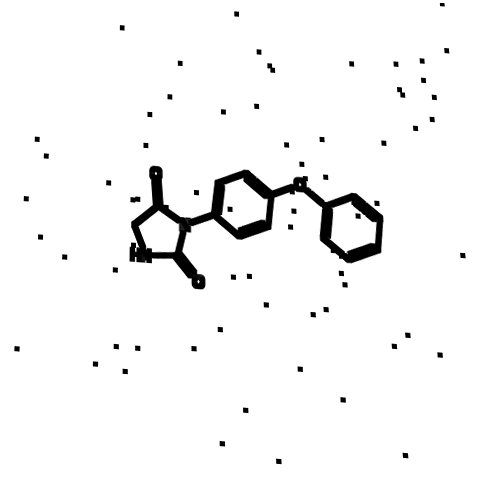 O=C1CNC(=O)N1c1ccc(Oc2ccccc2)cc1